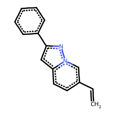 C=Cc1ccc2cc(-c3ccccc3)nn2c1